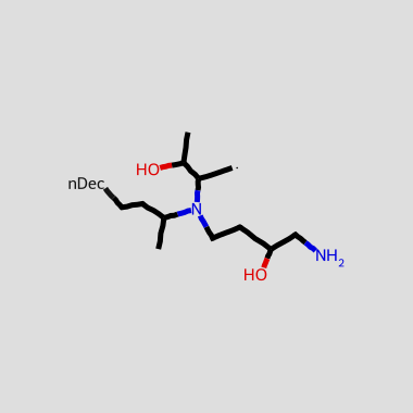 [CH2]C(C(C)O)N(CCC(O)CN)C(C)CCCCCCCCCCCC